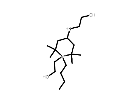 CCCC[N+]1(CCO)C(C)(C)CC(NCCO)CC1(C)C